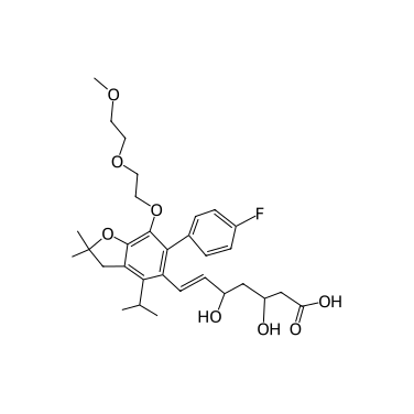 COCCOCCOc1c2c(c(C(C)C)c(/C=C/C(O)CC(O)CC(=O)O)c1-c1ccc(F)cc1)CC(C)(C)O2